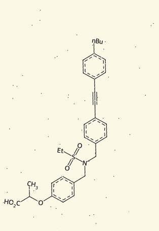 CCCCc1ccc(C#Cc2ccc(CN(Cc3ccc(OC(C)C(=O)O)cc3)S(=O)(=O)CC)cc2)cc1